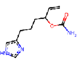 C=CC(CCCc1c[nH]cn1)OC(N)=O